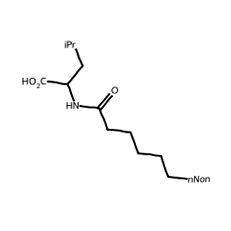 CCCCCCCCCCCCCCC(=O)NC(CC(C)C)C(=O)O